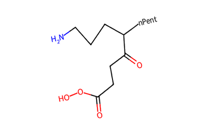 CCCCCC(CCCN)C(=O)CCC(=O)OO